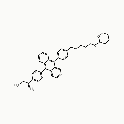 C=C(CC)c1ccc(-c2c3ccccc3c(-c3ccc(CCCCCOC4CCCCO4)cc3)c3ccccc23)cc1